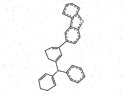 C1=CC(N(C2=CC(c3ccc4sc5ccccc5c4c3)=CCC2)c2ccccc2)=CCC1